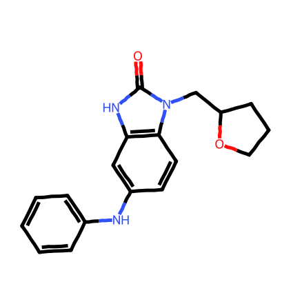 O=c1[nH]c2cc(Nc3ccccc3)ccc2n1CC1CCCO1